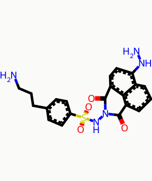 NCCCc1ccc(S(=O)(=O)NN2C(=O)c3cccc4c(NN)ccc(c34)C2=O)cc1